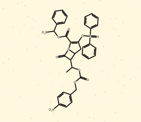 CC(OC(=O)OCc1ccc([N+](=O)[O-])cc1)C1C(=O)N2C(C(=O)OC(c3ccccc3)[N+](=O)[O-])=C(OP(=O)(c3ccccc3)c3ccccc3)CC12